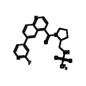 O=C(c1ccnc2ccc(-c3ccnc(F)c3)cc12)N1CCCC1CNS(=O)(=O)C(F)(F)F